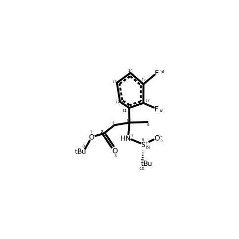 CC(C)(C)OC(=O)CC(C)(N[S@+]([O-])C(C)(C)C)c1cccc(F)c1F